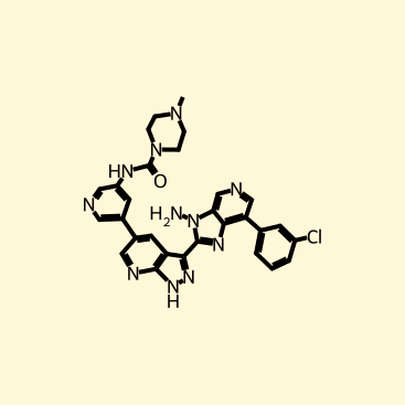 CN1CCN(C(=O)Nc2cncc(-c3cnc4[nH]nc(-c5nc6c(-c7cccc(Cl)c7)cncc6n5N)c4c3)c2)CC1